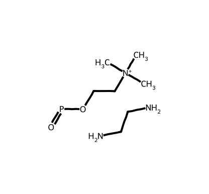 C[N+](C)(C)CCOP=O.NCCN